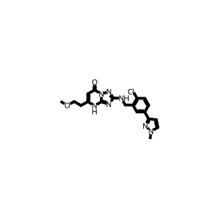 COCCc1cc(=O)n2nc(NCc3cc(-c4ccn(C)n4)ccc3Cl)nc2[nH]1